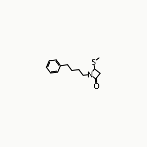 CSC1CC(=O)N1CCCCc1ccccc1